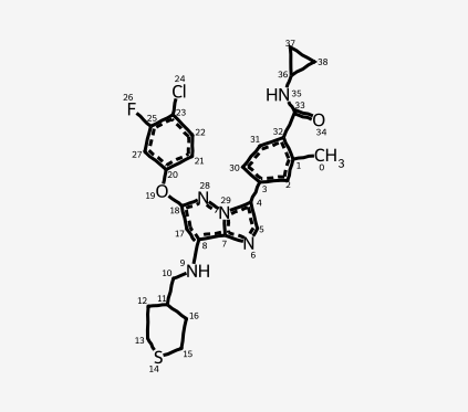 Cc1cc(-c2cnc3c(NCC4CCSCC4)cc(Oc4ccc(Cl)c(F)c4)nn23)ccc1C(=O)NC1CC1